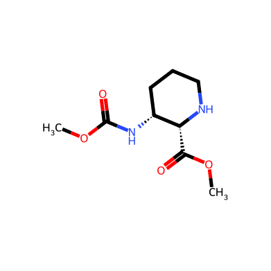 COC(=O)N[C@@H]1CCCN[C@@H]1C(=O)OC